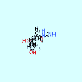 C[C@H](CCC(=O)NCC1CCNC1)[C@H]1CC[C@H]2[C@@H]3[C@@H](O)C[C@@H]4C[C@H](O)CC[C@]4(C)[C@H]3CC[C@]12C